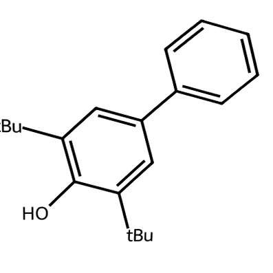 CC(C)(C)c1cc(-c2ccccc2)cc(C(C)(C)C)c1O